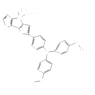 CCCCCCOc1ccc(N(c2ccc(OCCCCCC)cc2)c2ccc(-c3cc4c(s3)-c3sccc3[Si]4(CCCCCC)CCCCCC)cc2)cc1